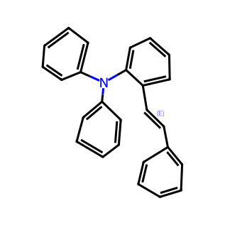 C(=C\c1ccccc1N(c1ccccc1)c1ccccc1)/c1ccccc1